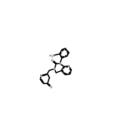 Nc1ccccc1N1C(=O)N(CC2=NC=CC(=O)C2)Cc2cccnc21